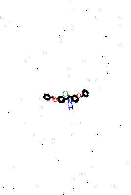 Clc1c(-c2ccc(OCc3ccccc3)cc2)[nH]c2ccc(OCc3ccccc3)cc12